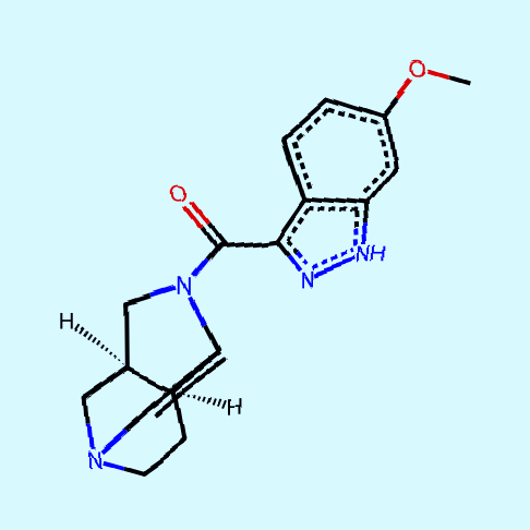 COc1ccc2c(C(=O)N3C[C@@H]4CN5C=C3[C@H]4CC5)n[nH]c2c1